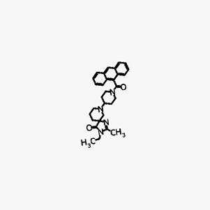 CCN1C(=O)C2(CCCN(C3CCN(C(=O)c4c5ccccc5cc5ccccc45)CC3)C2)N=C1C